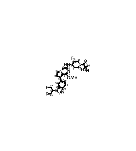 [2H]C([2H])([2H])C(=O)N1CC[C@H](Nc2nc(OC)c3c(-c4ccc5nnn(C(CF)CF)c5c4)ccn3n2)[C@H](F)C1